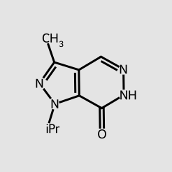 Cc1nn(C(C)C)c2c(=O)[nH]ncc12